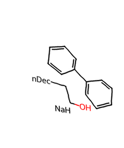 CCCCCCCCCCCCO.[NaH].c1ccc(-c2ccccc2)cc1